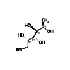 C[C@@H](O)[C@H](O)[C@H](O)[C@@H](O)CS